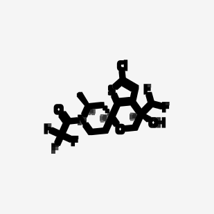 C[C@H]1C[C@@]2(CCN1C(=O)C(F)(F)F)OC[C@@](O)(C(F)F)c1cc(Cl)sc12